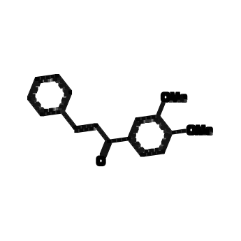 COc1ccc(C(=O)C=Cc2ccccc2)cc1OC